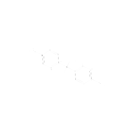 CCC(C(=O)O)(c1ccc(N)cc1)c1ccc(N)cc1